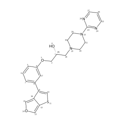 O[C@@H](COc1cccc(-c2csc3cocc23)c1)CN1CCN(c2ncccn2)CC1